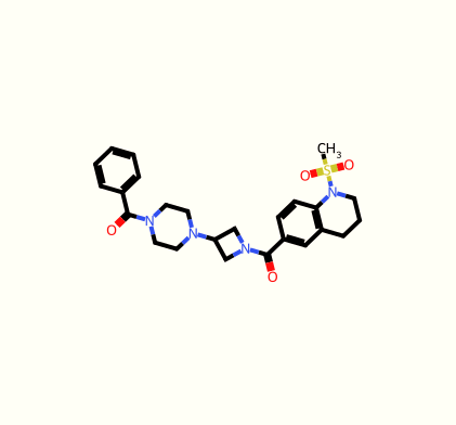 CS(=O)(=O)N1CCCc2cc(C(=O)N3CC(N4CCN(C(=O)c5ccccc5)CC4)C3)ccc21